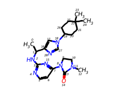 CC(Nc1nccc(N2CCN(C)C2=O)n1)c1cn(C2CCC(C)(C)CC2)cn1